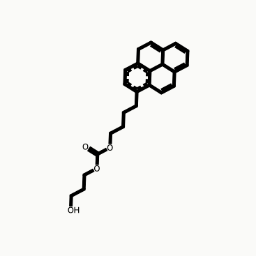 O=C(OCCCO)OCCCCc1ccc2c3c1C=CC1=CC=CC(=CC2)C13